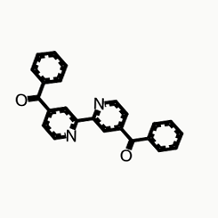 O=C(c1ccccc1)c1ccnc(-c2cc(C(=O)c3ccccc3)ccn2)c1